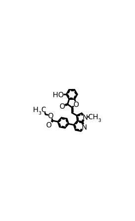 CCOC(=O)c1ccc(-c2ccnc3c2c(C=C2Oc4cccc(O)c4C2=O)cn3C)cc1